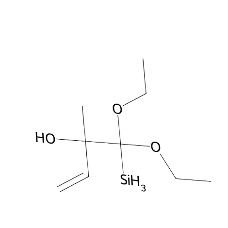 C=CC(C)(O)C([SiH3])(OCC)OCC